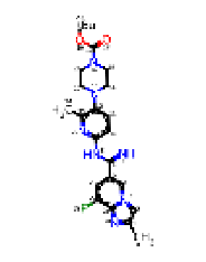 Cc1cn2cc(C(=N)Nc3ccc(N4CCN(C(=O)OC(C)(C)C)CC4)c(C)n3)cc(F)c2n1